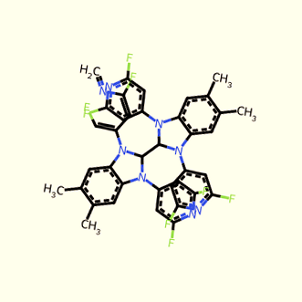 C=N/C(F)=C\C(=C/F)N1c2cc(C)c(C)cc2N(c2cc(F)nc(F)c2)C1C1N(c2cc(F)nc(F)c2)c2cc(C)c(C)cc2N1c1cc(F)nc(F)c1